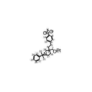 CCOC[C@@]1(CCc2ccc(S(C)(=O)=O)cc2)CCN(C(C)(C)c2ccccc2)C1